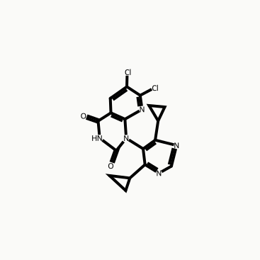 O=c1[nH]c(=O)n(-c2c(C3CC3)ncnc2C2CC2)c2nc(Cl)c(Cl)cc12